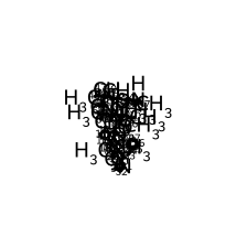 CC[C@H](C)[C@@H]([C@@H](CC(=O)N1CCC[C@H]1[C@H](OC)[C@@H](C)C(=O)N[C@@H](Cc1ccccc1)c1nccs1)OC)N(C)C(=O)[C@@H](NC(=O)[C@@H](C(C)C)N(C)CCOCCNC)C(C)C